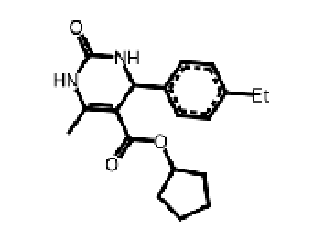 CCc1ccc(C2NC(=O)NC(C)=C2C(=O)OC2CCCC2)cc1